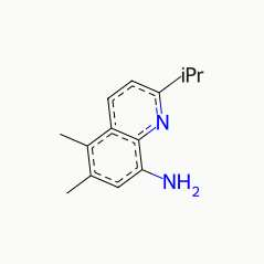 Cc1cc(N)c2nc(C(C)C)ccc2c1C